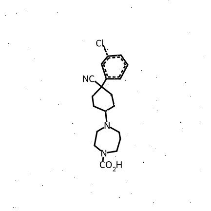 N#CC1(c2cccc(Cl)c2)CCC(N2CCCN(C(=O)O)CC2)CC1